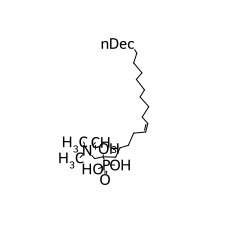 CCCCCCCCCCCCCCCCCC/C=C\CCCCC(O)(C[N+](C)(C)C)P(=O)(O)O